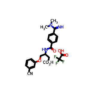 CN(C)C(=N)c1ccc(C(=O)NC(COc2cccc(C#N)c2)CC(=O)O)cc1.O=C(O)C(F)(F)F